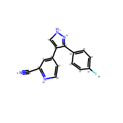 N#Cc1cc(-c2c[nH]nc2-c2ccc(F)cc2)ccn1